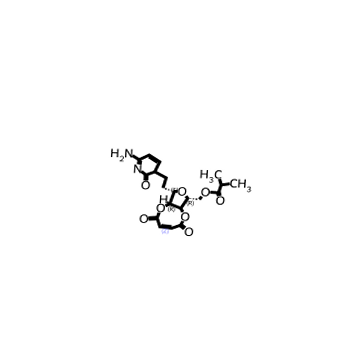 CC(C)C(=O)OC[C@H]1O[C@@H](CCC2C=CC(N)=NC2=O)[C@H]2OC(=O)/C=C\C(=O)OC12